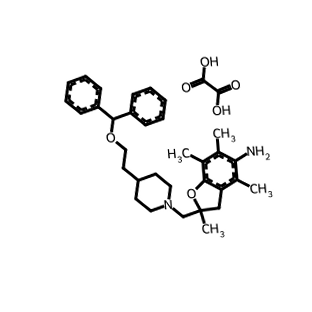 Cc1c(C)c2c(c(C)c1N)CC(C)(CN1CCC(CCOC(c3ccccc3)c3ccccc3)CC1)O2.O=C(O)C(=O)O